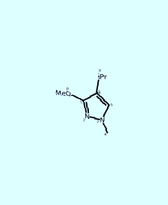 COc1nn(C)cc1C(C)C